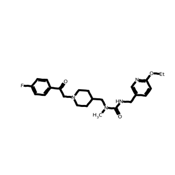 CCOc1ccc(CNC(=O)N(C)CC2CCN(CC(=O)c3ccc(F)cc3)CC2)cn1